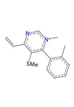 C=Cc1nc[n+](C)c(-c2ccccc2C)c1SC